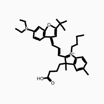 CCCC[N+]1=C(/C=C/C=C2\C=C(C(C)(C)C)Oc3cc(N(CC)CC)ccc32)C(C)(CCCC(=O)O)c2cc(C)ccc21